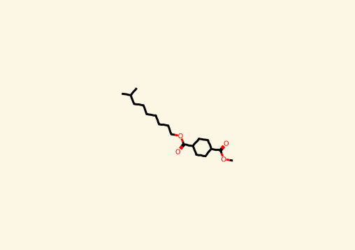 COC(=O)C1CCC(C(=O)OCCCCCCCC(C)C)CC1